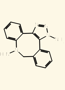 NN1Cc2ccccc2-c2c(nnn2N)-c2ccccc21